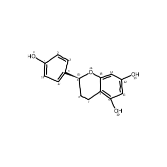 Oc1ccc([C@@H]2CCc3c(O)cc(O)cc3O2)cc1